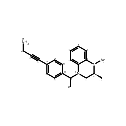 CC(=O)N1c2ccccc2N(C(C)c2ccc(C#CCN)cc2)C[C@@H]1C